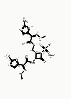 CON=C(C(=O)N[C@@H]1C(=O)N(S(=O)(=O)[O-])[C@@H]1COC(=O)C(=NOC)c1csc(N)n1)c1csc(N)n1.[Na+]